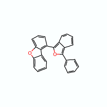 c1ccc(-c2oc(-c3cccc4oc5ccccc5c34)c3ccccc23)cc1